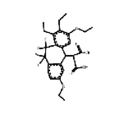 CCOc1ccc2c(c1)C(C(C(=O)O)C(=O)O)c1cc(OCC)c(CC)c(CC)c1C(F)(F)C2(F)F